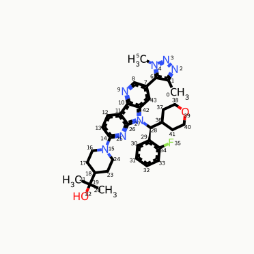 Cc1nnn(C)c1-c1cnc2c3ccc(N4CCC(C(C)(C)O)CC4)nc3n([C@H](c3ccccc3F)C3CCOCC3)c2c1